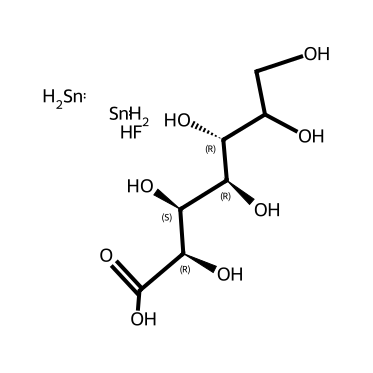 F.O=C(O)[C@H](O)[C@@H](O)[C@H](O)[C@H](O)C(O)CO.[SnH2].[SnH2]